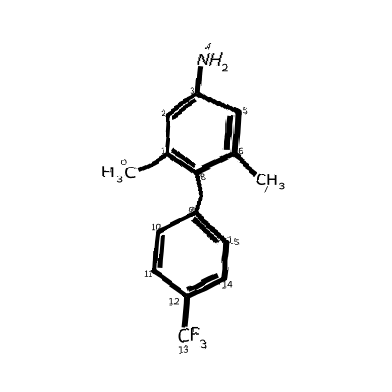 Cc1cc(N)cc(C)c1-c1ccc(C(F)(F)F)cc1